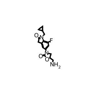 NCC1CN(c2cc(F)c3c(c2)CC(=O)N3CC2CC2)C(=O)O1